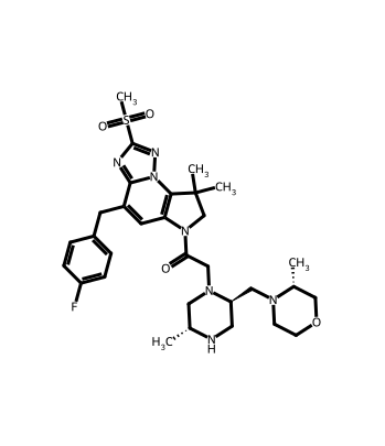 C[C@@H]1CN(CC(=O)N2CC(C)(C)c3c2cc(Cc2ccc(F)cc2)c2nc(S(C)(=O)=O)nn32)[C@@H](CN2CCOC[C@H]2C)CN1